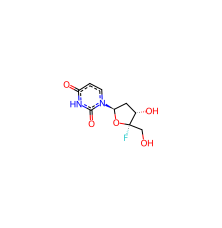 O=c1ccn([C@H]2C[C@H](O)[C@@](F)(CO)O2)c(=O)[nH]1